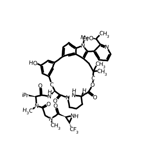 CCn1c(-c2cccnc2[C@H](C)OC)c2c3cc(ccc31)-c1cc(O)cc(c1)C[C@H](NC(=O)[C@H](C(C)C)N(C)C(=O)CN(C)C(=O)[C@H]1N[C@@H]1C(F)(F)F)C(=O)N1CCC[C@H](N1)C(=O)OCC(C)(C)C2